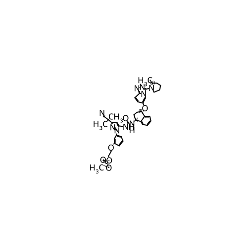 C[C@H]1CCCCN1c1nnc2ccc(O[C@@H]3CC[C@H](NC(=O)Nc4cc(C(C)(C)C#N)nn4-c4cccc(OCCOS(C)(=O)=O)c4)c4ccccc43)cn12